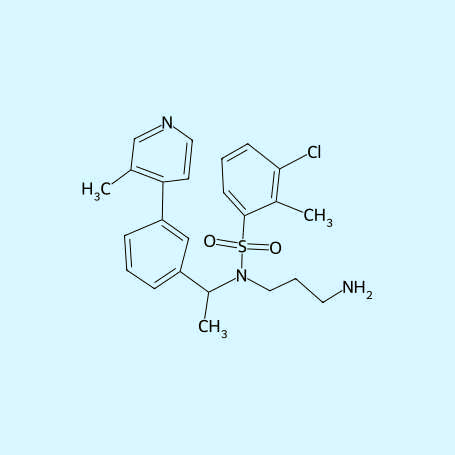 Cc1cnccc1-c1cccc(C(C)N(CCCN)S(=O)(=O)c2cccc(Cl)c2C)c1